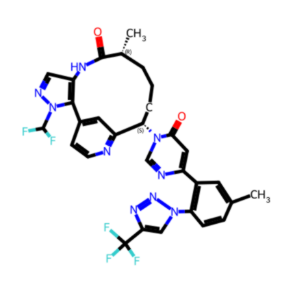 Cc1ccc(-n2cc(C(F)(F)F)nn2)c(-c2cc(=O)n([C@H]3CCC[C@@H](C)C(=O)Nc4cnn(C(F)F)c4-c4ccnc3c4)cn2)c1